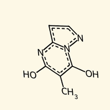 Cc1c(O)nc2ccnn2c1O